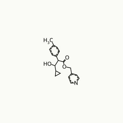 Cc1ccc(C(C(=O)OCc2ccncc2)C(O)C2CC2)cc1